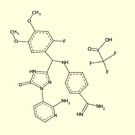 COc1cc(F)c(C(Nc2ccc(C(=N)N)cc2)c2nn(-c3cccnc3N)c(=O)[nH]2)cc1OC.O=C(O)C(F)(F)F